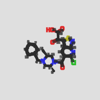 C[C@@H]1CN(Cc2ccccc2)[C@@H](C)CN1C(=O)c1cc2c(C(=O)C(=O)O)snc2nc1Cl